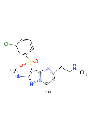 CNCCc1cc(C)n2nc(NC)c(S(=O)(=O)c3cccc(Cl)c3)c2n1